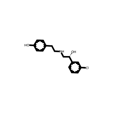 Oc1ccc(CCNC[C@H](O)c2cccc(Cl)c2)cc1